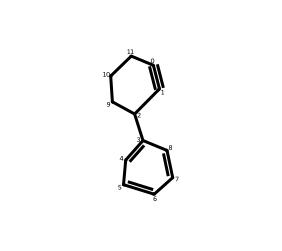 C1#CC(c2ccccc2)CCC1